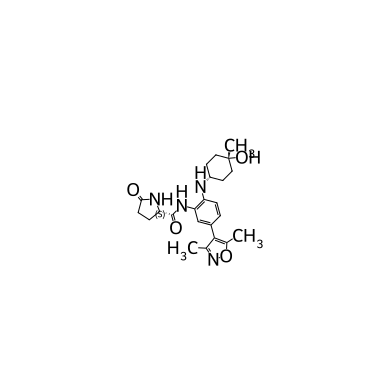 Cc1noc(C)c1-c1ccc(N[C@H]2CC[C@@](C)(O)CC2)c(NC(=O)[C@@H]2CCC(=O)N2)c1